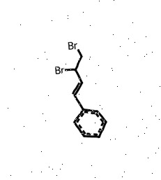 BrCC(Br)/C=C/c1ccccc1